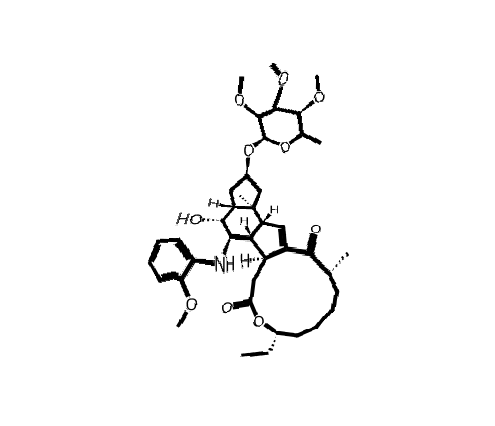 CC[C@H]1CCCC[C@@H](C)C(=O)C2=C[C@@H]3[C@@H]([C@@H](Nc4ccccc4OC)[C@H](O)[C@@H]4C[C@@H](O[C@@H]5OC(C)[C@H](OC)C(OC)C5OC)C[C@@]34C)[C@@H]2CC(=O)O1